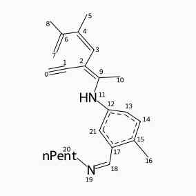 C#CC(/C=C(/C)C(=C)C)=C(/C)Nc1ccc(C)c(/C=N\CCCCC)c1